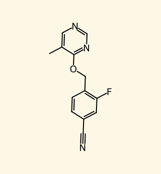 Cc1cncnc1OCc1ccc(C#N)cc1F